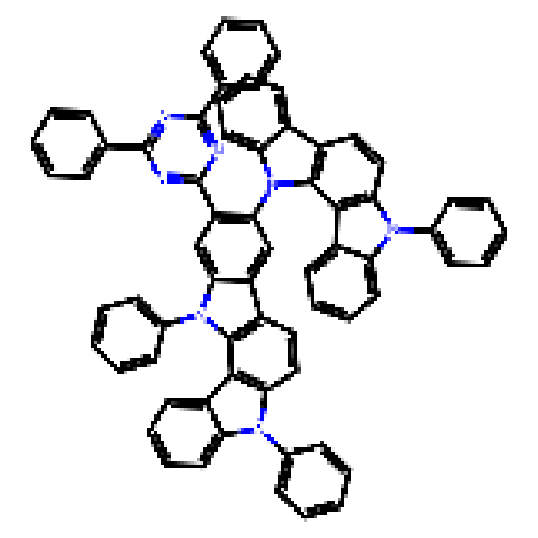 c1ccc(-c2nc(-c3ccccc3)nc(-c3cc4c(cc3-n3c5ccccc5c5ccc6c(c7ccccc7n6-c6ccccc6)c53)c3ccc5c(c6ccccc6n5-c5ccccc5)c3n4-c3ccccc3)n2)cc1